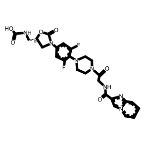 O=C(O)NC[C@H]1CN(c2cc(F)c(N3CCN(C(=O)CNC(=O)c4cn5ccccc5n4)CC3)c(F)c2)C(=O)O1